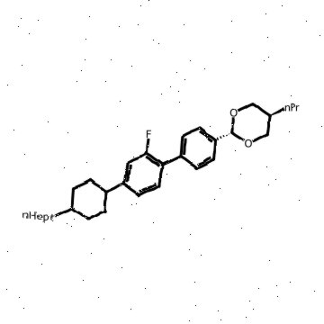 CCCCCCCC1CCC(c2ccc(-c3ccc([C@H]4OC[C@H](CCC)CO4)cc3)c(F)c2)CC1